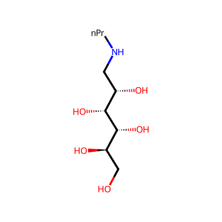 CCCNC[C@H](O)[C@@H](O)[C@H](O)[C@H](O)CO